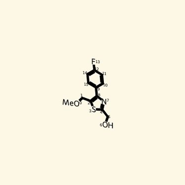 COCc1sc(CO)nc1-c1ccc(F)cc1